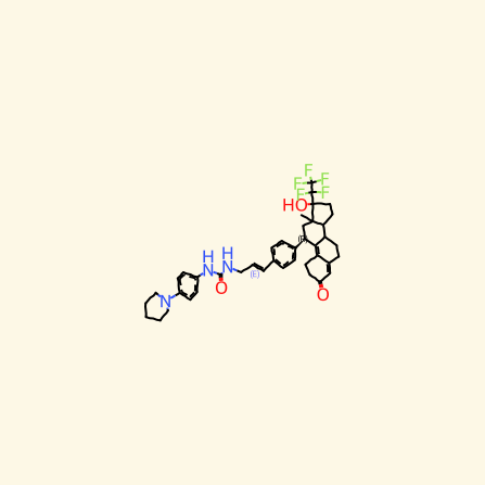 CC12C[C@H](c3ccc(/C=C/CNC(=O)Nc4ccc(N5CCCCC5)cc4)cc3)C3=C4CCC(=O)C=C4CCC3C1CCC2(O)C(F)(F)C(F)(F)F